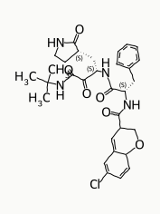 CC(C)(C)NC(=O)C(=O)[C@H](C[C@@H]1CCNC1=O)NC(=O)[C@H](Cc1ccccc1)NC(=O)C1C=C2C=C(Cl)C=CC2OC1